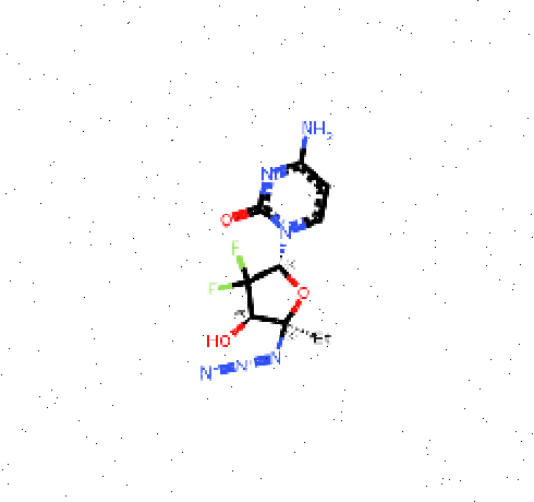 [CH2]C[C@@]1(N=[N+]=[N-])O[C@@H](n2ccc(N)nc2=O)C(F)(F)[C@@H]1O